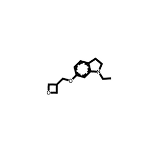 CCN1CCc2ccc(OCC3COC3)cc21